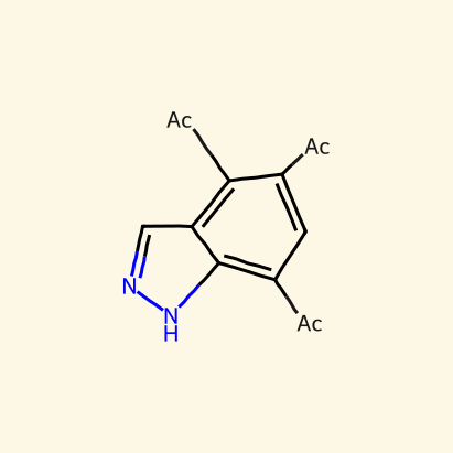 CC(=O)c1cc(C(C)=O)c2[nH]ncc2c1C(C)=O